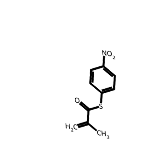 C=C(C)C(=O)Sc1ccc([N+](=O)[O-])cc1